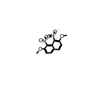 COc1ccc2ccc(OC)c([N+](=O)[O-])c2c1[N+](=O)[O-]